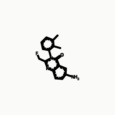 Cc1cccc(-n2c(CF)nc3ccc(N)cc3c2=O)c1C